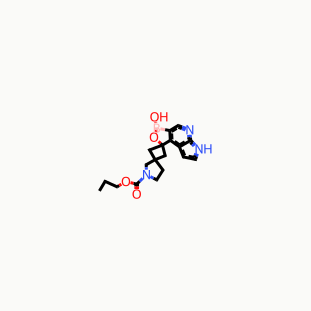 CCCOC(=O)N1CCC2(C1)CC1(C2)OB(O)c2cnc3[nH]ccc3c21